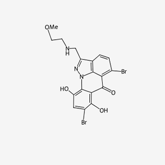 COCCNCc1nn2c3c(O)cc(Br)c(O)c3c(=O)c3c(Br)ccc1c32